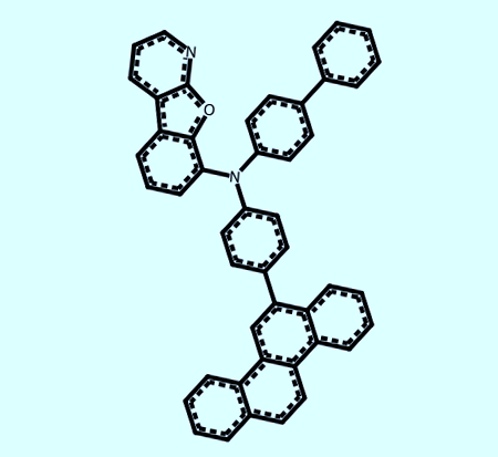 c1ccc(-c2ccc(N(c3ccc(-c4cc5c6ccccc6ccc5c5ccccc45)cc3)c3cccc4c3oc3ncccc34)cc2)cc1